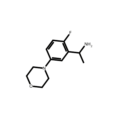 CC(N)c1cc(N2CCOCC2)ccc1F